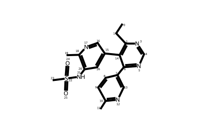 CCc1ncnc(-c2ccc(C)nc2)c1-c1cnc(C)c(NS(C)(=O)=O)c1